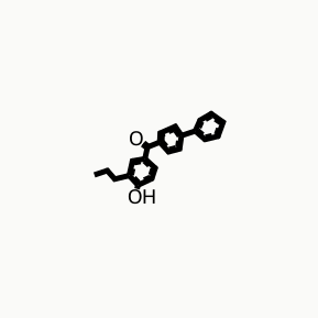 CCCc1cc(C(=O)c2ccc(-c3ccccc3)cc2)ccc1O